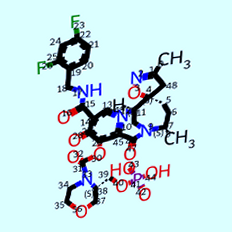 CC1=NO[C@@]2(CC[C@H](C)N3C[C@H]2n2cc(C(=O)NCc4ccc(F)cc4F)c(=O)c(OC(=O)N4CCOC[C@H]4COP(=O)(O)O)c2C3=O)C1